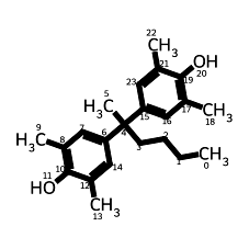 CCCCC(C)(c1cc(C)c(O)c(C)c1)c1cc(C)c(O)c(C)c1